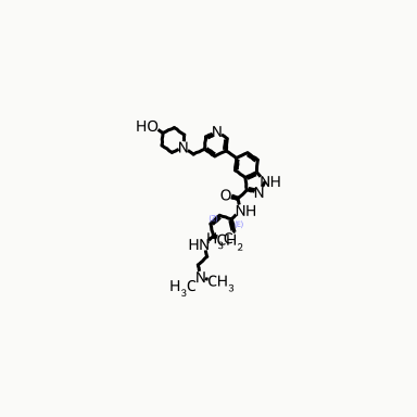 C=C(/C=C\C(=C/C)NC(=O)c1n[nH]c2ccc(-c3cncc(CN4CCC(O)CC4)c3)cc12)NCCN(C)C